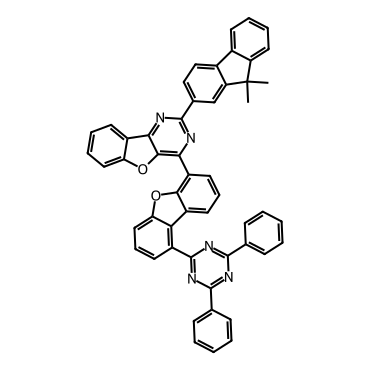 CC1(C)c2ccccc2-c2ccc(-c3nc(-c4cccc5c4oc4cccc(-c6nc(-c7ccccc7)nc(-c7ccccc7)n6)c45)c4oc5ccccc5c4n3)cc21